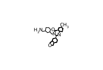 Cc1ccc2nc(-c3ccc4cocc4c3)n(CC3CCCC(CN)C3)c(=O)c2c1